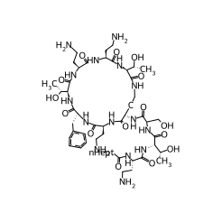 CCCCCCCC(=O)N[C@@H](CCN)C(=O)N[C@H](C(=O)NC(CO)C(=O)N[C@H]1CCNC(=O)[C@H]([C@@H](C)O)NC(=O)[C@H](CCN)NC(=O)[C@H](CCN)NC(=O)[C@H]([C@@H](C)O)NC(=O)[C@@H](Cc2ccccc2)NC(=O)[C@H](CCN)NC1=O)[C@@H](C)O